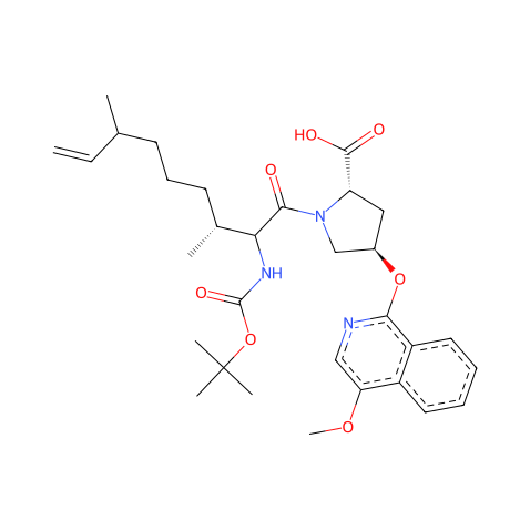 C=CC(C)CCC[C@@H](C)C(NC(=O)OC(C)(C)C)C(=O)N1C[C@H](Oc2ncc(OC)c3ccccc23)C[C@H]1C(=O)O